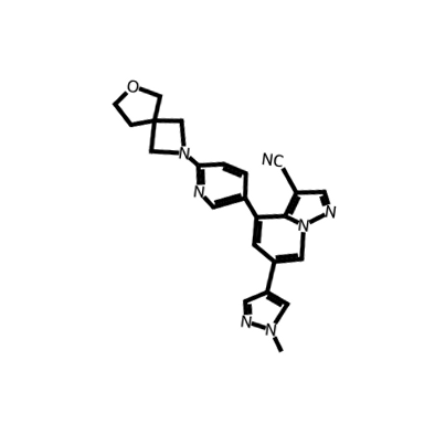 Cn1cc(-c2cc(-c3ccc(N4CC5(CCOC5)C4)nc3)c3c(C#N)cnn3c2)cn1